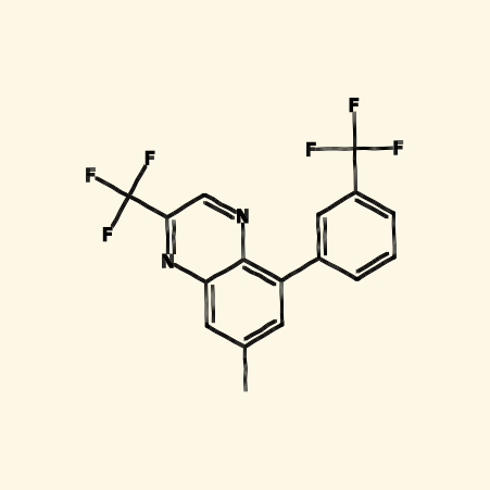 Cc1cc(-c2cccc(C(F)(F)F)c2)c2ncc(C(F)(F)F)nc2c1